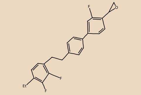 CCc1ccc(CCc2ccc(-c3ccc(C4CO4)c(F)c3)cc2)c(F)c1F